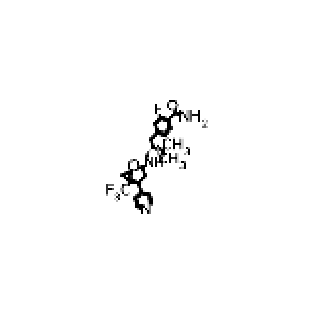 CN(C)[C@H](CNC(=O)CC(c1ccncc1)C1(C(F)(F)F)CC1)Cc1ccc(C(N)=O)c(F)c1